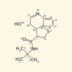 CC(C)(C)NC(=O)C1CSC23CC=CC=C2N=CCC13.Cl